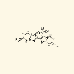 CCS(=O)(=O)c1c(-c2nc3ccc(C(F)(F)F)cn3n2)nc2cc(I)ccn12